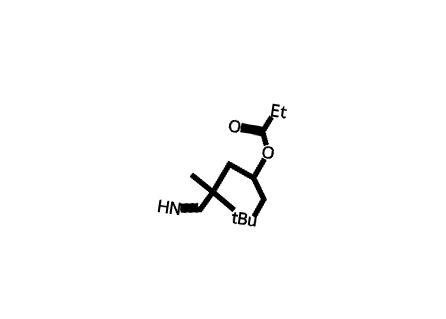 CCC(=O)OC(CC(C)(C)C)CC(C)(C)C=N